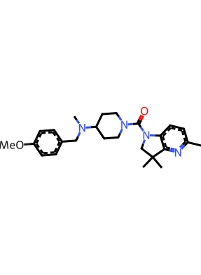 COc1ccc(CN(C)C2CCN(C(=O)N3CC(C)(C)c4nc(C)ccc43)CC2)cc1